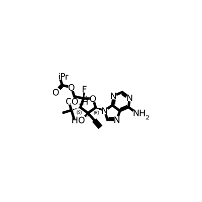 C#C[C@@]1(O)[C@H](n2cnc3c(N)ncnc32)O[C@@](F)(COC(=O)C(C)C)[C@H]1C(C)(C)C(=O)O